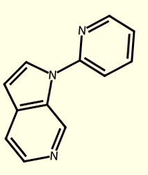 c1ccc(-n2ccc3ccncc32)nc1